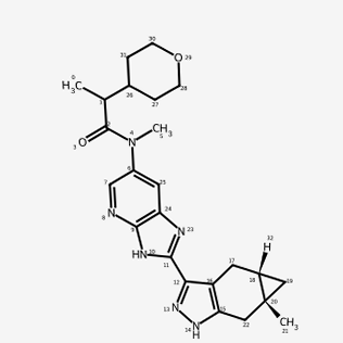 CC(C(=O)N(C)c1cnc2[nH]c(-c3n[nH]c4c3C[C@@H]3C[C@]3(C)C4)nc2c1)C1CCOCC1